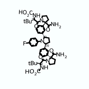 CC(C)(C)[C@H](NC(=O)O)C(=O)N1CCC[C@@]1(C(N)=O)c1cccc([C@@H]2CC[C@@H](c3cccc([C@]4(C(N)=O)CCCN4C(=O)[C@@H](NC(=O)O)C(C)(C)C)c3)N2c2ccc(F)cc2)c1